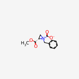 COC(=O)[C@@H]1C[N+]1(Cc1ccccc1)C(=O)[O-]